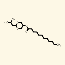 CCCCCCCCCCCC(=O)OC1COC(CC(C)C)OC1